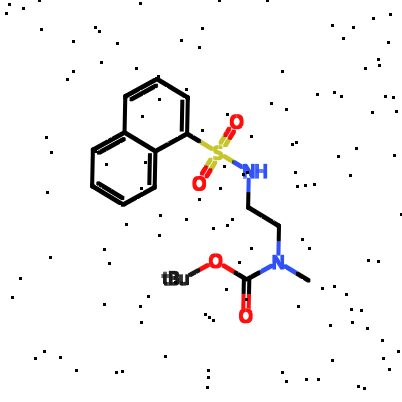 CN(CCNS(=O)(=O)c1cccc2ccccc12)C(=O)OC(C)(C)C